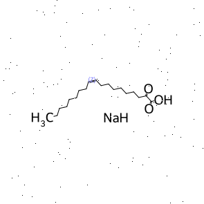 CCCCCCCC/C=C\CCCCCCCC(=O)C(=O)O.[NaH]